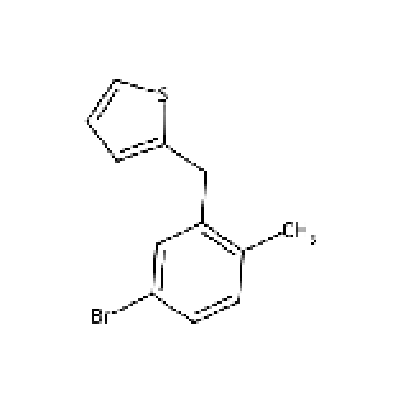 Cc1ccc(Br)cc1Cc1cccs1